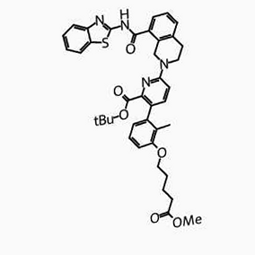 COC(=O)CCCCOc1cccc(-c2ccc(N3CCc4cccc(C(=O)Nc5nc6ccccc6s5)c4C3)nc2C(=O)OC(C)(C)C)c1C